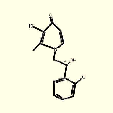 Cc1c(O)c(=O)ccn1C[C@H](O)c1ccccc1Cl